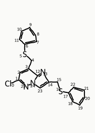 Clc1cc(CSc2ccccc2)c2nc(CSc3ccccc3)cn2n1